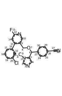 Cn1cncc1C(OCc1cnc(F)cc1-c1cccc(Cl)c1)c1ccc(C#N)cc1